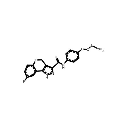 NSOOc1ccc(NC(=O)c2n[nH]c3c2COc2ccc(F)cc2-3)cc1